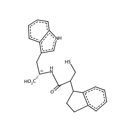 O=C(N[C@@H](Cc1c[nH]c2ccccc12)C(=O)O)C(CS)C1CCc2ccccc21